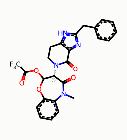 CN1C(=O)[C@@H](N2CCc3[nH]c(Cc4ccccc4)nc3C2=O)C(OC(=O)C(F)(F)F)Oc2ccccc21